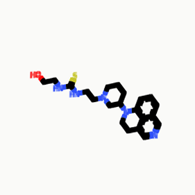 OCCNC(=S)NCCN1CCCC(N2CCc3cncc4cccc2c34)C1